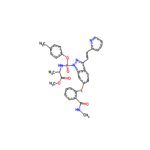 CNC(=O)c1ccccc1Sc1ccc2c(/C=C/c3ccccn3)nn(P(=O)(NC(C)C(=O)OC)Oc3ccc(C)cc3)c2c1